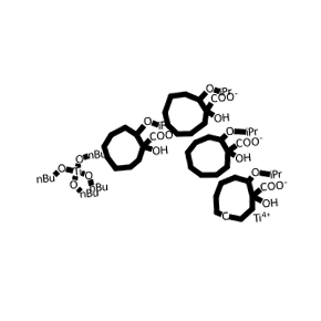 CC(C)OC1CCCCCCCC1(O)C(=O)[O-].CC(C)OC1CCCCCCCC1(O)C(=O)[O-].CC(C)OC1CCCCCCCC1(O)C(=O)[O-].CC(C)OC1CCCCCCCC1(O)C(=O)[O-].CCCC[O][Ti]([O]CCCC)([O]CCCC)[O]CCCC.[Ti+4]